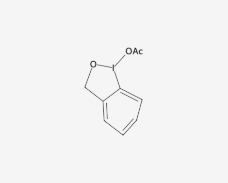 CC(=O)OI1OCc2ccccc21